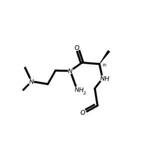 C[C@@H](NCC=O)C(=O)N(N)CCN(C)C